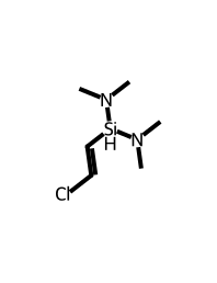 CN(C)[SiH](C=CCl)N(C)C